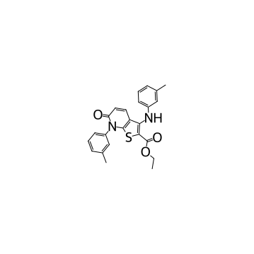 CCOC(=O)c1sc2c(ccc(=O)n2-c2cccc(C)c2)c1Nc1cccc(C)c1